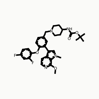 COc1nccc2c(-c3cc(CN4CCC(NC(=O)OC(C)(C)C)CC4)ccc3Oc3ccc(F)cc3F)cn(C)c12